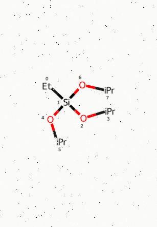 CC[Si](OC(C)C)(OC(C)C)OC(C)C